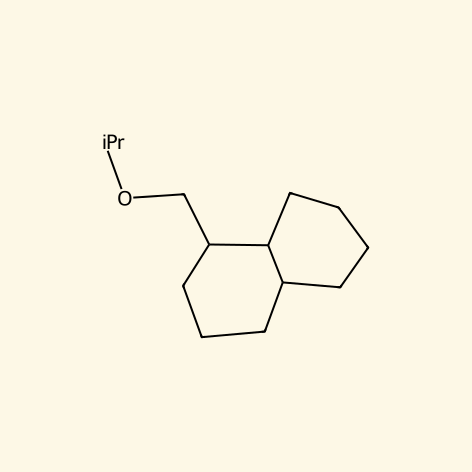 CC(C)OCC1CCCC2CCCCC21